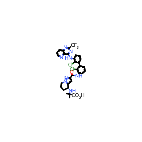 CC(C)(N[C@@H]1CCCn2nc(C(=O)Nc3cccc(-c4cccc(Nc5nc(C(F)(F)F)nc6cccnc56)c4Cl)c3Cl)cc21)C(=O)O